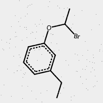 CCc1cccc(OC(C)Br)c1